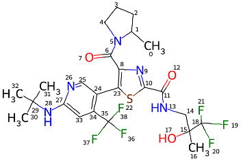 CC1CCCN1C(=O)c1nc(C(=O)NCC(C)(O)C(F)(F)F)sc1-c1cnc(NC(C)(C)C)cc1C(F)(F)F